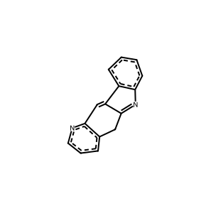 C1=C2C(=Nc3ccccc32)Cc2cccnc21